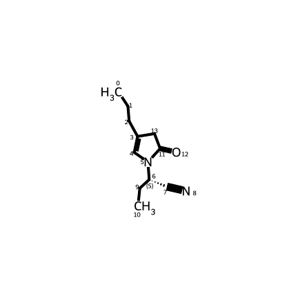 CCCC1=CN([C@H](C#N)CC)C(=O)C1